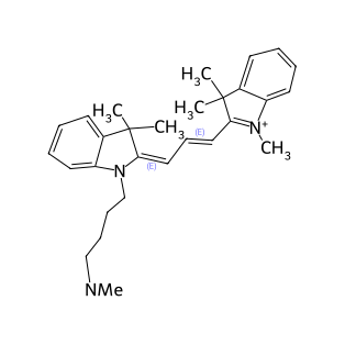 CNCCCCN1/C(=C/C=C/C2=[N+](C)c3ccccc3C2(C)C)C(C)(C)c2ccccc21